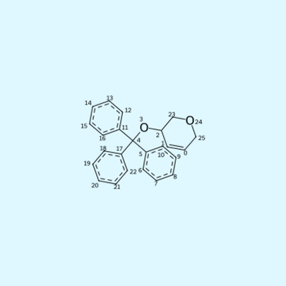 C1=CC(OC(c2ccccc2)(c2ccccc2)c2ccccc2)COC1